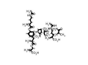 CC(C)C[C@H](N)C(=O)O.C[C@@H](N)C(N)=O.N=C(N)NCCC[C@H](N)C(=O)O.NC(=O)NCCC[C@@H](N)C(=O)Oc1ccc(C[C@H](N)C(=O)OC[C@H](N)C(=O)O)cc1.O=C(O)[C@@H]1CCCN1